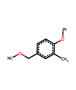 Cc1cc(COC#N)ccc1OC(C)C